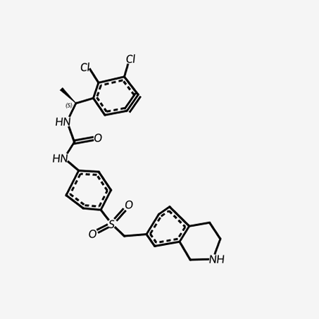 C[C@H](NC(=O)Nc1ccc(S(=O)(=O)Cc2ccc3c(c2)CNCC3)cc1)c1cc#cc(Cl)c1Cl